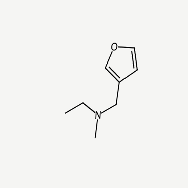 CCN(C)Cc1ccoc1